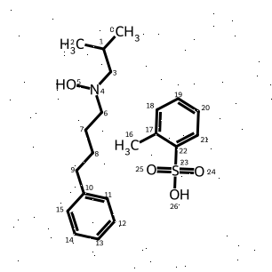 CC(C)CN(O)CCCCc1ccccc1.Cc1ccccc1S(=O)(=O)O